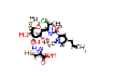 CCC[C@@H]1C[C@@H](C(=O)N[C@@H]([C@H]2O[C@H](SC)[C@H](O)[C@@H](O)[C@H]2O)[C@H](C)Cl)N(C)C1.NC(CS)C(=O)O